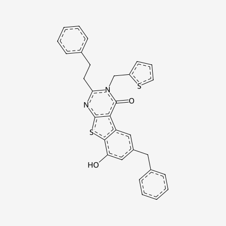 O=c1c2c(nc(CCc3ccccc3)n1Cc1cccs1)sc1c(O)cc(Cc3ccccc3)cc12